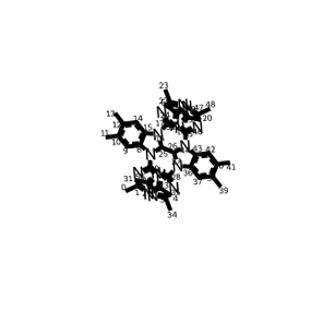 Cc1nc(C)nc(N2c3cc(C)c(C)cc3N(c3nc(C)nc(C)n3)C2C2N(c3nc(C)nc(C)n3)c3cc(C)c(C)cc3N2c2nc(C)nc(C)n2)n1